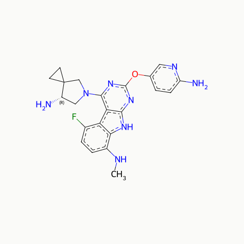 CNc1ccc(F)c2c1[nH]c1nc(Oc3ccc(N)nc3)nc(N3C[C@H](N)C4(CC4)C3)c12